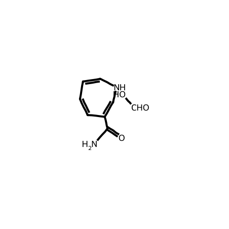 NC(=O)C1=CNC=CC=C1.O=CO